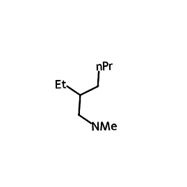 [CH2]NCC(CC)CCCC